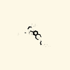 COCCN1CCc2ccc(C3(N)N=C(N)C=CN3OC(=O)C(F)(F)F)cc2CC1